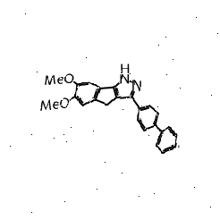 COc1cc2c(cc1OC)-c1[nH]nc(-c3ccc(-c4cc[c]cc4)cc3)c1C2